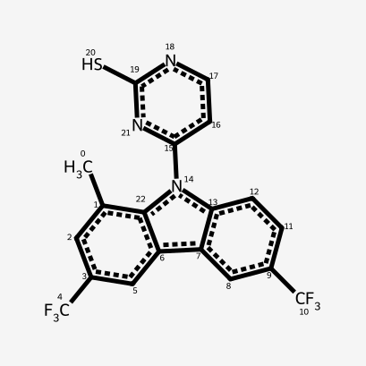 Cc1cc(C(F)(F)F)cc2c3cc(C(F)(F)F)ccc3n(-c3ccnc(S)n3)c12